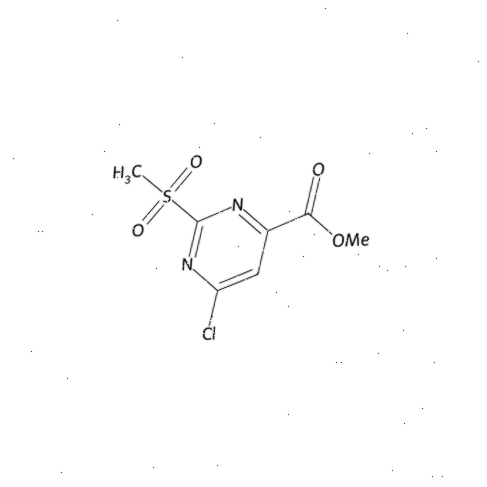 COC(=O)c1cc(Cl)nc(S(C)(=O)=O)n1